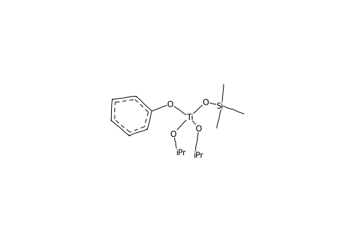 CC(C)[O][Ti]([O]c1ccccc1)([O]C(C)C)[O][Si](C)(C)C